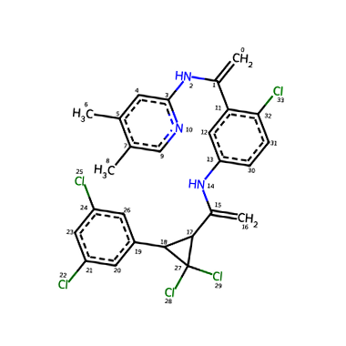 C=C(Nc1cc(C)c(C)cn1)c1cc(NC(=C)C2C(c3cc(Cl)cc(Cl)c3)C2(Cl)Cl)ccc1Cl